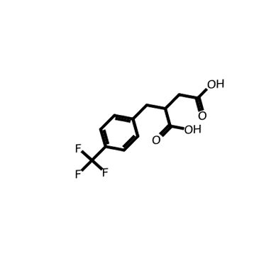 O=C(O)CC(Cc1ccc(C(F)(F)F)cc1)C(=O)O